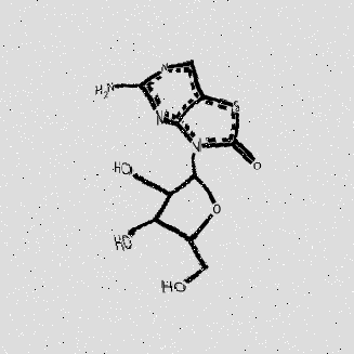 Nc1ncc2sc(=O)n(C3OC(CO)C(O)C3O)c2n1